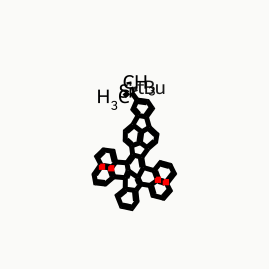 CC(C)(C)[Si](C)(C)c1ccc2c(c1)-c1ccc3c4c(ccc-2c14)-c1c-3c(-c2ccccc2)c2c(-c3ccccc3)c3ccccc3c(-c3ccccc3)c2c1-c1ccccc1